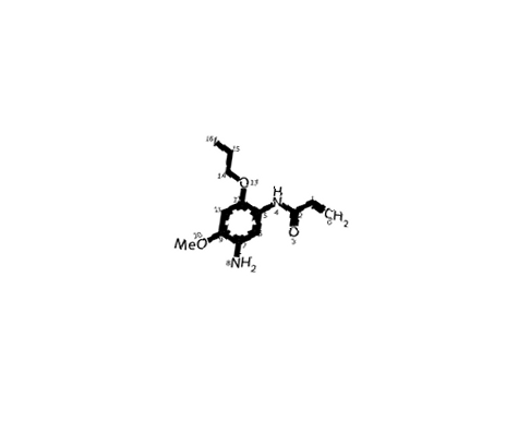 C=CC(=O)Nc1cc(N)c(OC)cc1OCCI